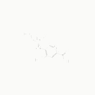 CO[SH](=O)=Nc1cnc(C(C)=O)cc1C